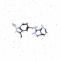 CCn1nc(C)c2cc(NC3=NCc4cccnc43)ccc21